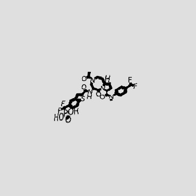 CC(=O)N1CC[C@H]2CC[C@@H](C(=O)N(C)c3ccc(C(F)F)cc3)N2C(=O)C(NC(=O)c2cc3cc(C(F)(F)P(=O)(O)O)ccc3s2)C1